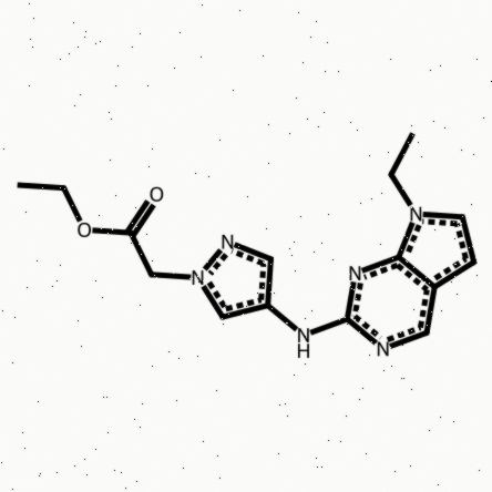 CCOC(=O)Cn1cc(Nc2ncc3ccn(CC)c3n2)cn1